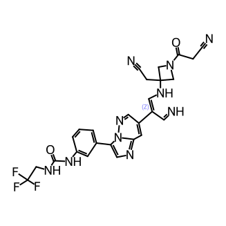 N#CCC(=O)N1CC(CC#N)(N/C=C(\C=N)c2cnn3c(-c4cccc(NC(=O)NCC(F)(F)F)c4)cnc3c2)C1